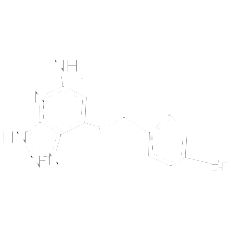 Nc1cc(OCc2ccc(Br)cc2)c2nn[nH]c2n1